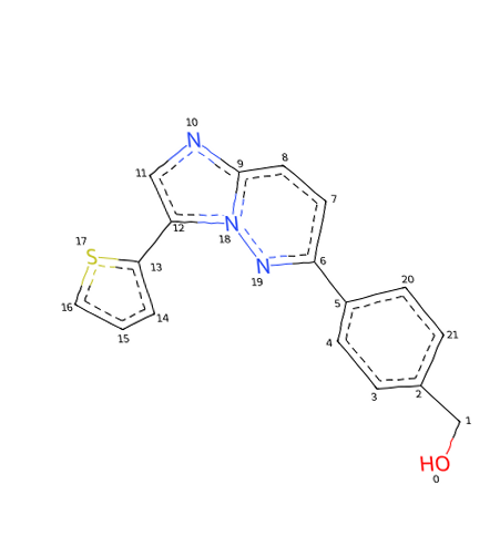 OCc1ccc(-c2ccc3ncc(-c4cccs4)n3n2)cc1